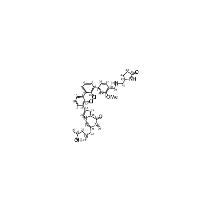 COc1nc(-c2cccc(-c3cccc(-c4cc5c(=O)n(C)c(CN(C)CC(C)O)nn5c4)c3Cl)c2Cl)ccc1CNCC1CCC(=O)N1